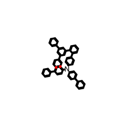 c1ccc(-c2ccc(N(c3ccc(-c4ccccc4)cc3)c3ccc(-c4ccccc4-c4cc(-c5ccccc5)cc(-c5ccccc5)c4)cc3)cc2)cc1